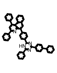 c1ccc(C2=NC(c3ccc(-c4ccccc4)cc3)=NC(c3ccc(-c4cc5ccccc5c5c(-c6ccccc6)cc(-c6ccccc6)nc45)cc3)N2)cc1